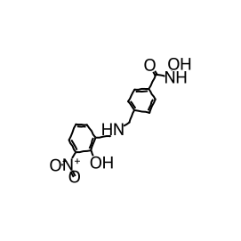 O=C(NO)c1ccc(CNCc2cccc([N+](=O)[O-])c2O)cc1